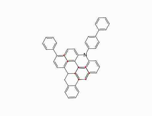 c1ccc(-c2ccc(C(Cc3ccccc3-c3cccc(-c4ccccc4N(c4ccccc4)c4ccc(-c5ccccc5)cc4)c3)c3ccccc3)cc2)cc1